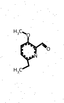 CCc1ccc(OC)c(C=O)n1